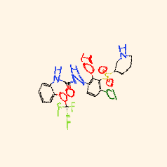 O=C(Nc1ccccc1OC(F)(F)F)Nc1ccc(Cl)c(S(=O)(=O)C2CCCNC2)c1O